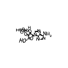 Nc1ncnc2c1ncn2[C@@H]1O[C@H](CO)[C@@H](OP2(=O)OBO2)[C@H]1O